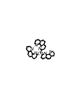 c1cnc2c(c1)ccc1cc[c]([Co]([c]3ccc4ccc5cccnc5c4n3)[c]3ccc4ccc5cccnc5c4n3)nc12